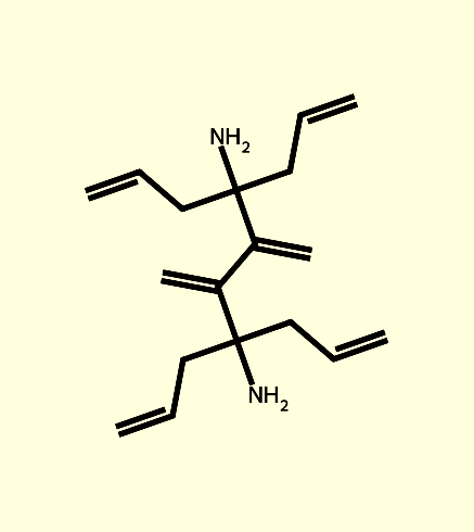 C=CCC(N)(CC=C)C(=C)C(=C)C(N)(CC=C)CC=C